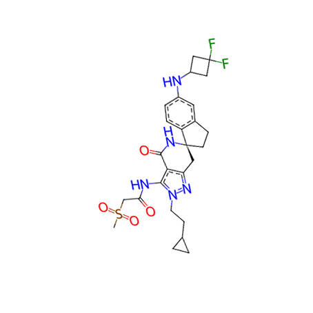 CS(=O)(=O)CC(=O)Nc1c2c(nn1CCC1CC1)C[C@@]1(CCc3cc(NC4CC(F)(F)C4)ccc31)NC2=O